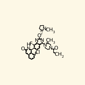 C=CC(=O)N1CCN(c2nc(OC[C@@H]3CCCN3C)nc3c(F)c(-c4[nH]c(=O)cc5cccc(F)c45)c(Cl)cc23)[C@@H](C)C1